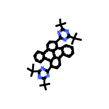 CC(C)(C)c1nc(-c2ccc3c4ccccc4c4c(-c5nc(C(C)(C)C)nc(C(C)(C)C)n5)ccc5c6ccccc6c2c3c54)nc(C(C)(C)C)n1